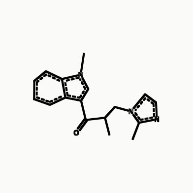 Cc1nccn1CC(C)C(=O)c1cn(C)c2ccccc12